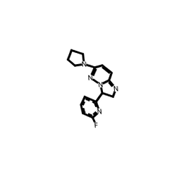 Fc1cccc(C2CN=C3C=CC(N4CCCC4)=NN32)n1